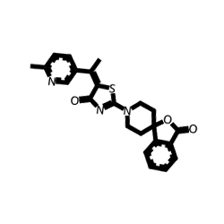 CC(=C1SC(N2CCC3(CC2)OC(=O)c2ccccc23)=NC1=O)c1ccc(C)nc1